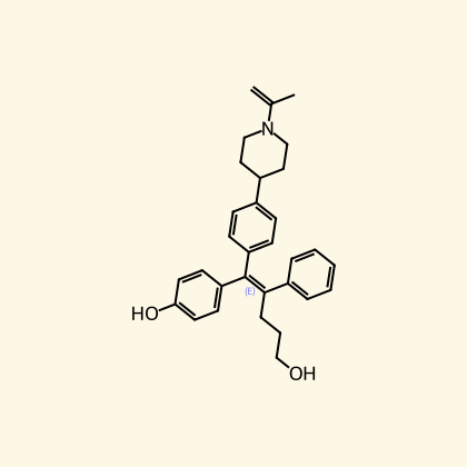 C=C(C)N1CCC(c2ccc(/C(=C(/CCCO)c3ccccc3)c3ccc(O)cc3)cc2)CC1